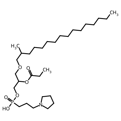 CCCCCCCCCCCCCCC(C)COCC(COP(=O)(O)CCCN1CCCC1)OC(=O)CC